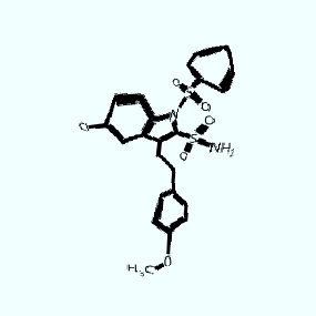 COc1ccc(CCc2c(S(N)(=O)=O)n(S(=O)(=O)c3ccccc3)c3ccc(Cl)cc23)cc1